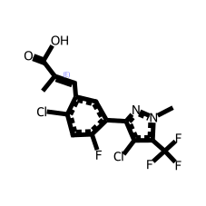 C/C(=C\c1cc(-c2nn(C)c(C(F)(F)F)c2Cl)c(F)cc1Cl)C(=O)O